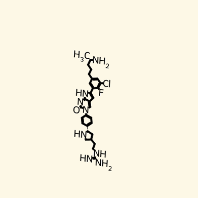 C[C@H](N)CCCc1cc(Cl)c(F)c(-c2cc3cn(-c4ccc([C@@H]5CC(CCNC(=N)N)CN5)cc4)c(=O)nc3[nH]2)c1